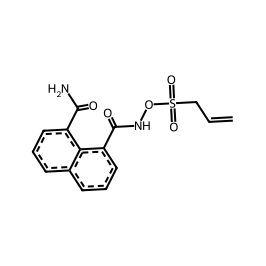 C=CCS(=O)(=O)ONC(=O)c1cccc2cccc(C(N)=O)c12